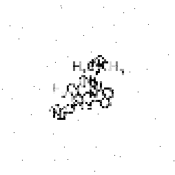 CN(c1nc(OCC23CCCN2CCC3)nc2c(F)c(-c3cccc4cccc(Cl)c34)ncc12)C1CCN(C(=O)C#C[C@]2(C)CCCN2C)C1